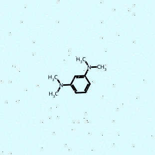 CN(C)c1c[c]cc(N(C)C)c1